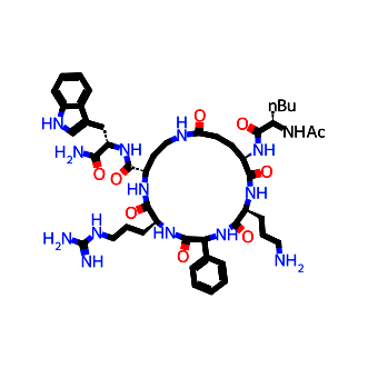 CCCC[C@H](NC(C)=O)C(=O)N[C@H]1CCC(=O)NCC[C@@H](C(=O)N[C@@H](Cc2c[nH]c3ccccc23)C(N)=O)NC(=O)[C@H](CCCNC(=N)N)NC(=O)C(c2ccccc2)NC(=O)[C@H](CCCN)NC1=O